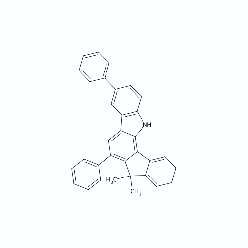 CC1(C)C2=CCCC=C2c2c1c(-c1ccccc1)cc1c2[nH]c2ccc(-c3ccccc3)cc21